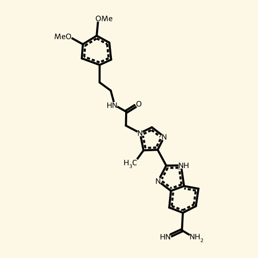 COc1ccc(CCNC(=O)Cn2cnc(-c3nc4cc(C(=N)N)ccc4[nH]3)c2C)cc1OC